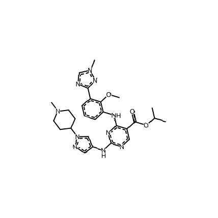 COc1c(Nc2nc(Nc3cnn(C4CCN(C)CC4)c3)ncc2C(=O)OC(C)C)cccc1-c1ncn(C)n1